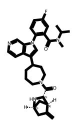 C=C1C[C@@H]2C[C@H]1[C@@H](C(=O)N1CCCC(c3cn(-c4ccc(F)cc4C(=O)N(C)C(C)C)c4cnccc34)CC1)N2